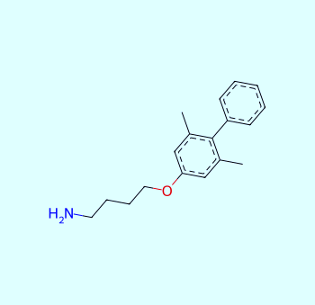 Cc1cc(OCCCCN)cc(C)c1-c1ccccc1